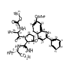 CCC[C@H](NC(=N)[C@@H]1C[C@@H](C23CC=C(OC)C=C2N=C(c2ccccc2)C=C3O)CN1C(=O)C(NC(=O)OC(C)(C)C)C(C)C)C(=O)O